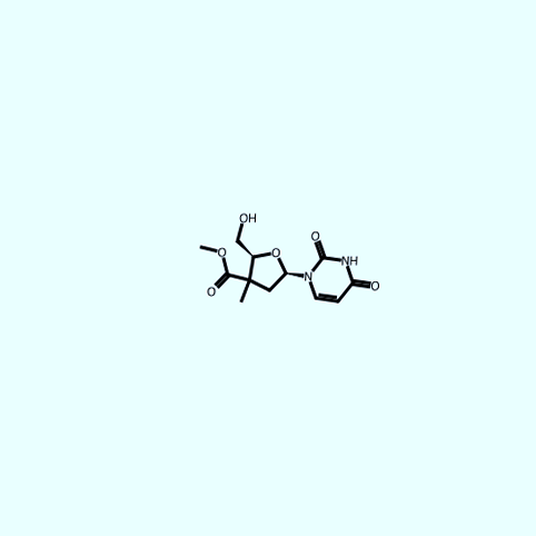 COC(=O)C1(C)C[C@H](n2ccc(=O)[nH]c2=O)O[C@@H]1CO